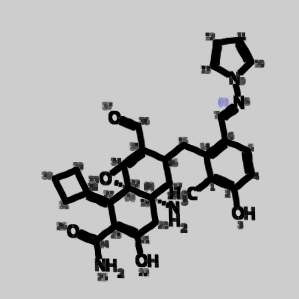 Cc1c(O)ccc(/C=N/n2cccc2)c1CC1C[C@@]2(N)CC(O)=C(C(N)=O)C(=C3CCC3)[C@]23OC3=C1C=O